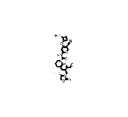 CC1CCC1Oc1cc(NC(=O)N2CCCc3cc(CN4C(=O)OCC4C)c(C=O)nc32)ncc1C#N